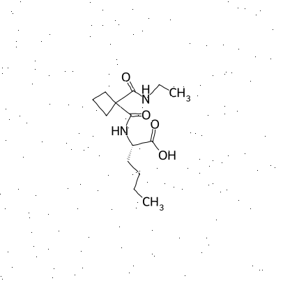 CCCC[C@H](NC(=O)C1(C(=O)NCC)CCC1)C(=O)O